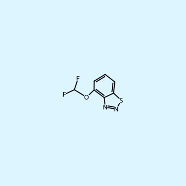 FC(F)Oc1cccc2snnc12